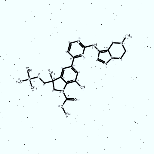 CN1CCn2ncc(Nc3nccc(-c4cc(C#N)c5c(c4)[C@@](C)(CO[Si](C)(C)C(C)(C)C)CN5C(=O)OC(C)(C)C)n3)c2C1